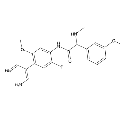 CNC(C(=O)Nc1cc(OC)c(/C(C=N)=C/N)cc1F)c1cccc(OC)c1